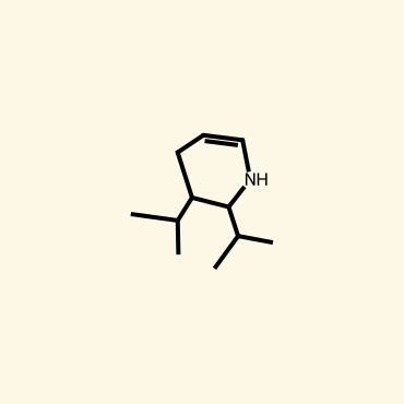 CC(C)C1CC=CNC1C(C)C